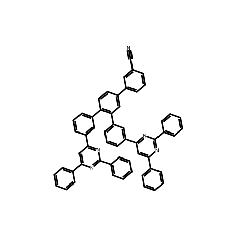 N#Cc1cccc(-c2ccc(-c3cccc(-c4cc(-c5ccccc5)nc(-c5ccccc5)n4)c3)c(-c3cccc(-c4cc(-c5ccccc5)nc(-c5ccccc5)n4)c3)c2)c1